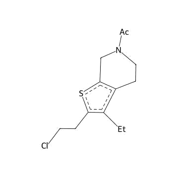 CCc1c(CCCl)sc2c1CCN(C(C)=O)C2